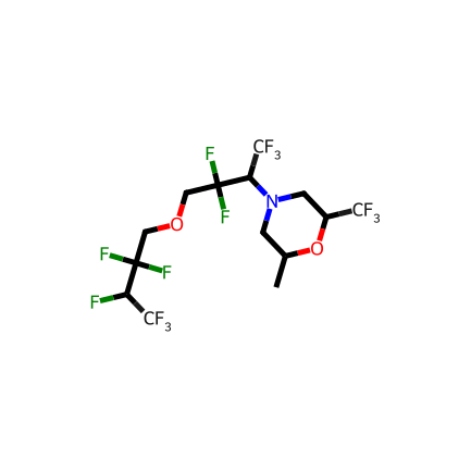 CC1CN(C(C(F)(F)F)C(F)(F)COCC(F)(F)C(F)C(F)(F)F)CC(C(F)(F)F)O1